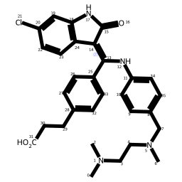 CN(C)CCN(C)Cc1ccc(N/C(=C2\C(=O)Nc3cc(Cl)ccc32)c2ccc(CCC(=O)O)cc2)cc1